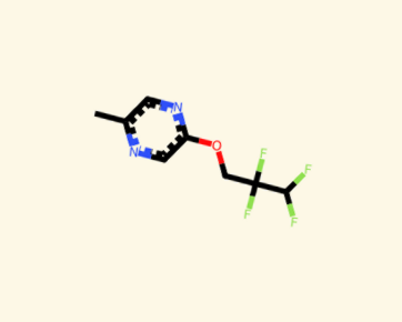 Cc1cnc(OCC(F)(F)C(F)F)cn1